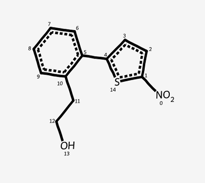 O=[N+]([O-])c1ccc(-c2ccccc2CCO)s1